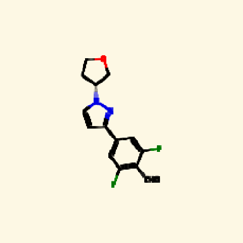 O=Cc1c(F)cc(-c2ccn([C@@H]3CCOC3)n2)cc1F